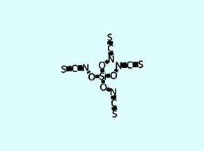 S=C=NO[Si](ON=C=S)(ON=C=S)ON=C=S